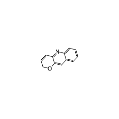 C1=Cc2nc3ccccc3cc2OC1